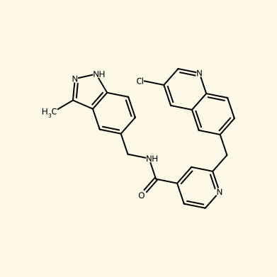 Cc1n[nH]c2ccc(CNC(=O)c3ccnc(Cc4ccc5ncc(Cl)cc5c4)c3)cc12